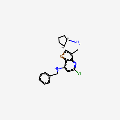 Cc1c([C@@H]2CCC[C@H]2N)sc2c(NCc3ccccc3)cc(Cl)nc12